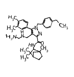 CCc1ccc(Cn2nc(C(=O)NC3C4(C)CCC(C4)C3(C)C)c(CNCN)c2-c2ccc(C)c(C)c2)cc1